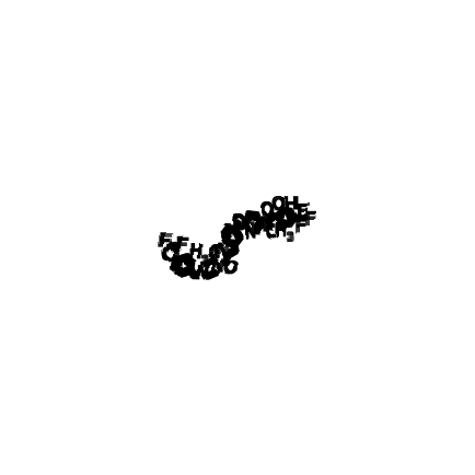 CN(C(=O)c1ccc(C(F)(F)F)cc1O)c1ccc(Oc2ccc3c(c2)cc(C(=O)N2CCN(Cc4ccc(OC(F)F)cc4)CC2)n3C)nc1